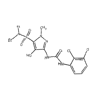 CCN(CC)S(=O)(=O)c1c(O)c(NC(=O)Nc2cccc(Cl)c2Cl)nn1C